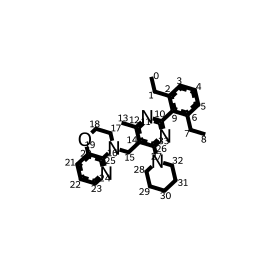 CCc1cccc(CC)c1-c1nc(C)c(CN2CCOc3cccnc32)c(N2CCCCC2)n1